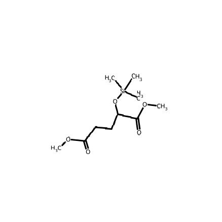 COC(=O)CCC(O[Si](C)(C)C)C(=O)OC